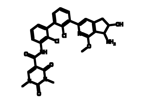 COc1nc(-c2cccc(-c3cccc(NC(=O)c4cn(C)c(=O)n(C)c4=O)c3Cl)c2Cl)cc2c1C(N)C(O)C2